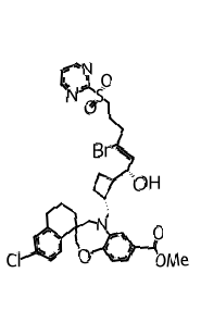 COC(=O)c1ccc2c(c1)N(C[C@@H]1CC[C@H]1[C@@H](O)/C=C(\Br)CCCS(=O)(=O)c1ncccn1)CC1(CCCc3cc(Cl)ccc31)CO2